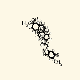 Cc1cc2nnn(CC(=O)[C@H]3CC[C@H]4[C@@H]5CC[C@H]6C[C@](C)(O)CC[C@]6(C)[C@H]5CC[C@]34C)c2cc1F